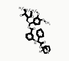 C=C/C(Cl)=C(C[C@H](OC(=O)c1cccc(N[C@@H](C(=O)O[C@H]2CN3CCC2CC3)c2ccccc2)c1)c1ccc(OC)c(OC)c1)\C(Cl)=C/C